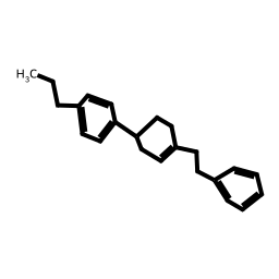 CCCc1ccc(C2CC=C(CCc3ccccc3)CC2)cc1